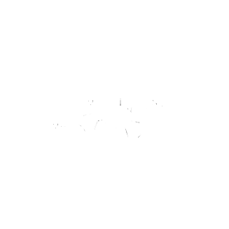 COc1ccc([C@@H]2Sc3ccccc3N(CCN(C)C)C(=O)C2OC)cc1